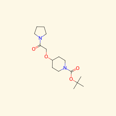 CC(C)(C)OC(=O)N1CCC(OCC(=O)N2CCCC2)CC1